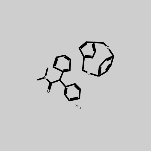 CN(C)C(=O)C(c1ccccc1)c1ccccc1.P.c1cc2ccc1CCc1ccc(cc1)CC2